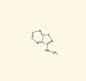 CNc1nsc2nccnc12